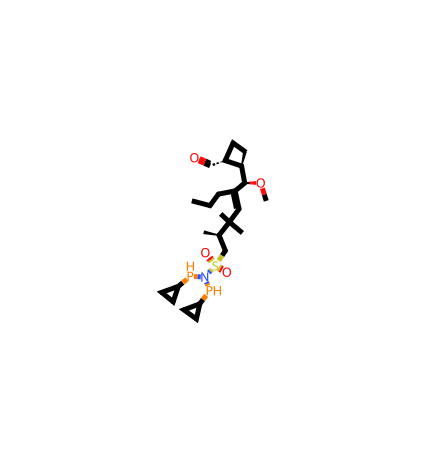 CCC/C(=C\C(C)(C)[C@H](C)CS(=O)(=O)N(PC1CC1)PC1CC1)[C@H](OC)[C@@H]1CC[C@H]1C=O